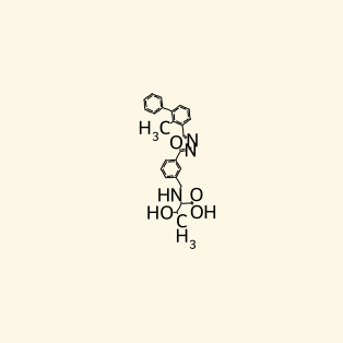 Cc1c(-c2ccccc2)cccc1-c1nnc(-c2cccc(CNC(C(=O)O)C(C)O)c2)o1